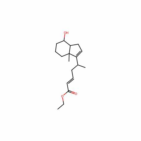 CCOC(=O)C=CCC(C)C1=CCC2C(O)CCCC12C